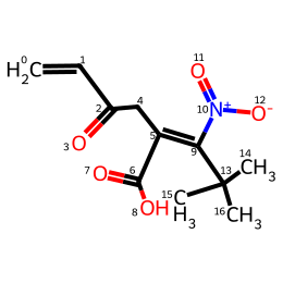 C=CC(=O)CC(C(=O)O)=C([N+](=O)[O-])C(C)(C)C